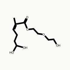 CC(=CCCC(O)O)C(=O)OCCOCCO